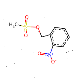 CS(=O)(=O)OCc1ccccc1[N+](=O)[O-]